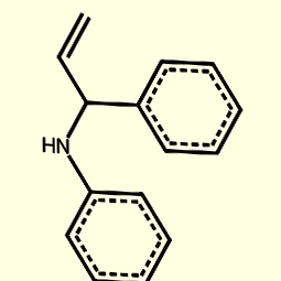 C=CC(Nc1ccccc1)c1ccccc1